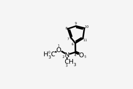 CON(C)C(=O)c1[c]cccc1